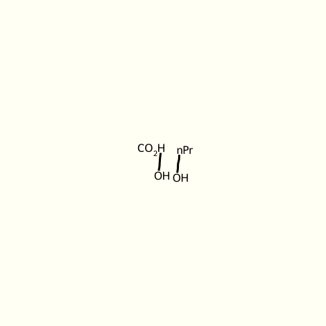 CCCO.O=C(O)O